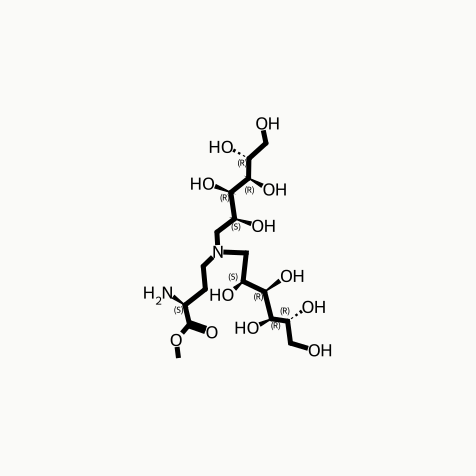 COC(=O)[C@@H](N)CCN(C[C@H](O)[C@@H](O)[C@H](O)[C@H](O)CO)C[C@H](O)[C@@H](O)[C@H](O)[C@H](O)CO